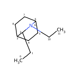 CCC1C2CCC(CC2)N1CC